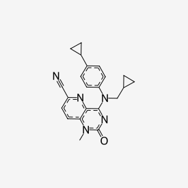 Cn1c(=O)nc(N(CC2CC2)c2ccc(C3CC3)cc2)c2nc(C#N)ccc21